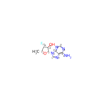 C[C@H]1O[C@@H](n2cnc3c(N)ncnc32)[C@H](O)[C@H]1F